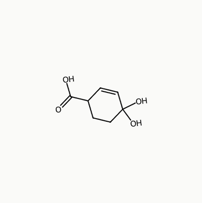 O=C(O)C1C=CC(O)(O)CC1